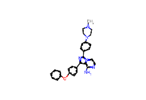 CN1CCN(c2ccc(-c3nc(-c4ccc(Oc5ccccc5)cc4)c4c(N)nccn34)cc2)CC1